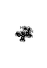 COc1cc2c(OC3OC(C)C(N[C@@H](CCC(=O)O)C(=O)O)C(OC(C)=O)C3O)c3c(c(-c4ccc5c(c4)OCO5)c2cc1OC)C(=O)OC3